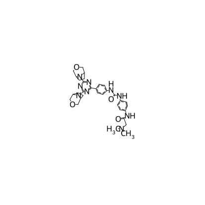 CN(C)CC(=O)Nc1ccc(NC(=O)Nc2ccc(-c3nc(N4C5CCC4COC5)nc(N4C5CCC4COC5)n3)cc2)cc1